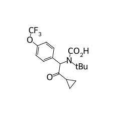 CC(C)(C)N(C(=O)O)C(C(=O)C1CC1)c1ccc(OC(F)(F)F)cc1